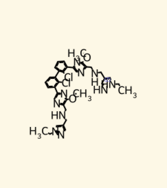 CCN/C=C(\C=N)CNCc1ncc(-c2cccc(-c3cccc(-c4cnc(CNCc5cnn(CC)c5)c(OC)n4)c3Cl)c2Cl)nc1OC